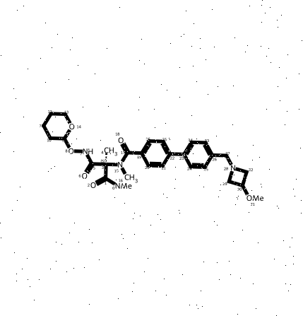 CNC(=O)[C@@](C)(C(=O)NOC1CCCCO1)N(C)C(=O)c1ccc(-c2ccc(CN3CC(OC)C3)cc2)cc1